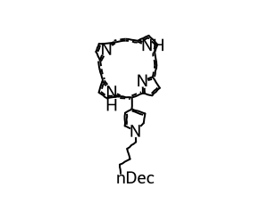 CCCCCCCCCCCCCCN1C=CC(c2c3nc(cc4ccc(cc5nc(cc6ccc2[nH]6)C=C5)[nH]4)C=C3)=CC1